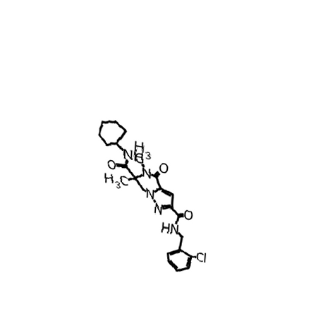 CN1C(=O)c2cc(C(=O)NCc3ccccc3Cl)nn2CC1(C)C(=O)NC1CCCCC1